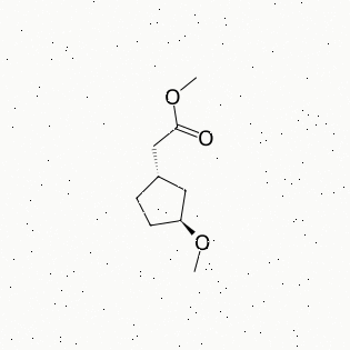 COC(=O)C[C@H]1CC[C@H](OC)C1